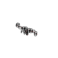 C=CC(=O)OCCCOc1ccc(OC(=O)C(=O)Oc2ccc(OC(=O)C(=O)Oc3ccc(OCCCOC(=O)C=C)cc3)c(/C=N/Nc3nc4ccccc4s3)c2)cc1